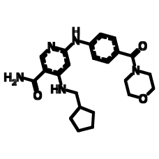 NC(=O)c1cnc(Nc2ccc(C(=O)N3CCOCC3)cc2)cc1NCC1CCCC1